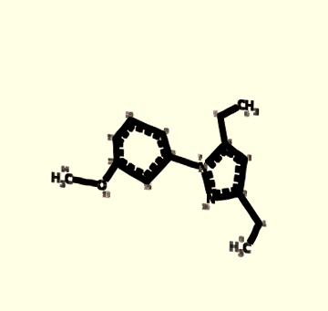 CCc1cc(CC)n(-c2cccc(OC)c2)n1